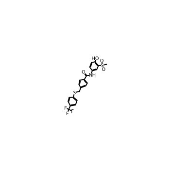 CS(=O)(=O)c1cc(NC(=O)c2ccc(CSc3ccc(C(F)(F)F)cc3)cc2)ccc1O